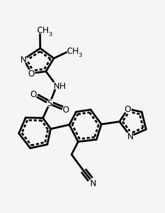 Cc1noc(NS(=O)(=O)c2ccccc2-c2ccc(-c3ncco3)cc2CC#N)c1C